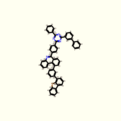 c1ccc(-c2cccc(-c3nc(-c4ccccc4)nc(-c4ccc(-c5nc6ccccc6c6c(-c7cccc(-c8cccc9c8sc8ccccc89)c7)cccc56)cc4)n3)c2)cc1